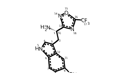 N[C@@H](Cc1c[nH]c2ccc(O)cc12)c1noc(C(F)(F)F)n1